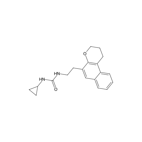 O=C(NCCc1cc2ccccc2c2c1OCCC2)NC1CC1